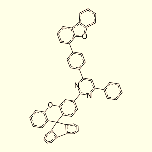 c1ccc(-c2cc(-c3ccc(-c4cccc5c4oc4ccccc45)cc3)nc(-c3ccc4c(c3)Oc3ccccc3C43c4ccccc4-c4ccccc43)n2)cc1